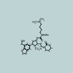 CCCCN(CCCCN(C)C)C(=O)CN1C[C@H](c2cc(CO)c3c(c2)OCO3)[C@@H](C(=O)O)[C@@H]1CCN1CCCCC1=O